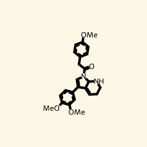 COc1ccc(CC(=O)N2C=C(c3ccc(OC)c(OC)c3)C3=CCCNC32)cc1